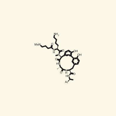 CNCCCC(=O)N[C@@H](CCCCN)C(=O)N(C)[C@@H]1C(=O)N[C@@H](C)C(=O)N[C@H](C(=O)N[C@@H](C)C(C)=O)Cc2ccc(O)c(c2)-c2cc1ccc2O